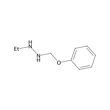 CCNNCOc1ccccc1